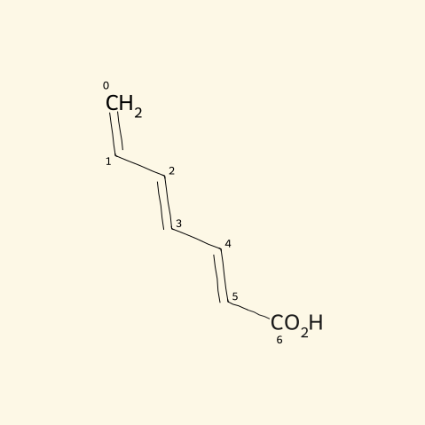 C=CC=CC=CC(=O)O